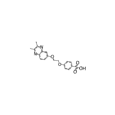 Cc1nc2ccc(OCCOc3ccc(S(=O)(=O)O)cc3)cc2nc1C